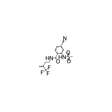 C=C(CCNC(=O)c1ccc(C#N)cc1NS(C)(=O)=O)C(F)(F)F